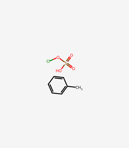 Cc1ccccc1.O=S(=O)(O)OCl